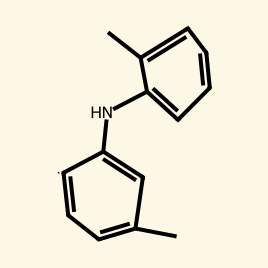 Cc1cc[c]c(Nc2ccccc2C)c1